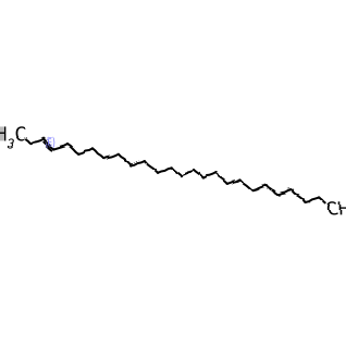 CC/C=C/CCCCCCCCCCCCCCCCCCCCCC